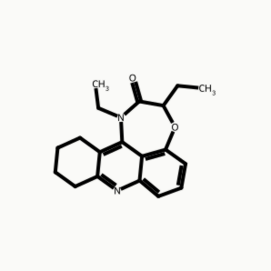 CCC1Oc2cccc3nc4c(c(c23)N(CC)C1=O)CCCC4